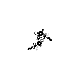 CC=CCOC(=O)Nc1cc(OC(=O)Oc2cc(NC(=O)OCC=CC)c(F)cc2Cl)c(Cl)cc1F